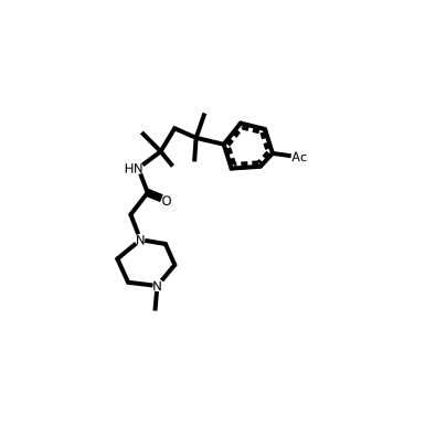 CC(=O)c1ccc(C(C)(C)CC(C)(C)NC(=O)CN2CCN(C)CC2)cc1